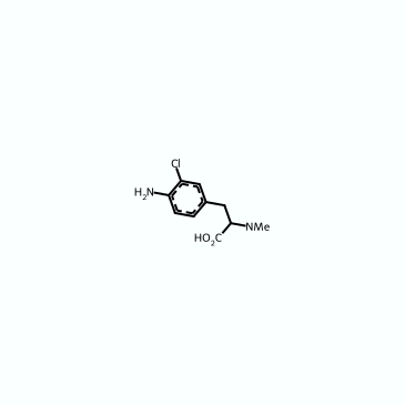 CNC(Cc1ccc(N)c(Cl)c1)C(=O)O